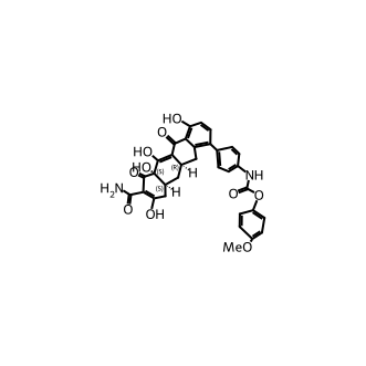 COc1ccc(OC(=O)Nc2ccc(-c3ccc(O)c4c3C[C@H]3C[C@H]5CC(O)=C(C(N)=O)C(=O)[C@@]5(O)C(O)=C3C4=O)cc2)cc1